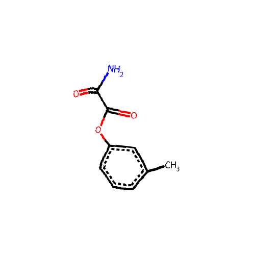 Cc1cccc(OC(=O)C(N)=O)c1